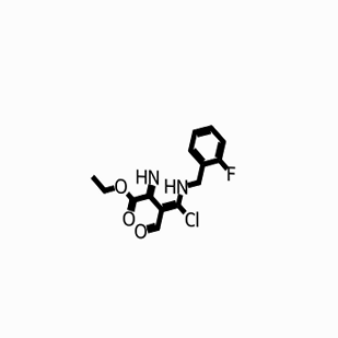 CCOC(=O)C(=N)/C(C=O)=C(/Cl)NCc1ccccc1F